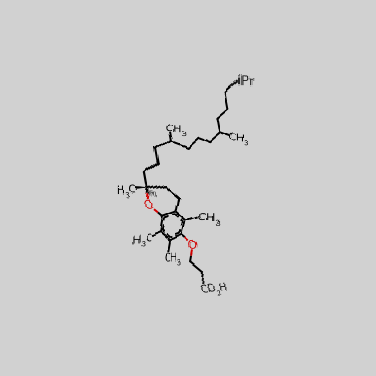 Cc1c(C)c2c(c(C)c1OCCC(=O)O)CC[C@@](C)(CCCC(C)CCCC(C)CCCC(C)C)O2